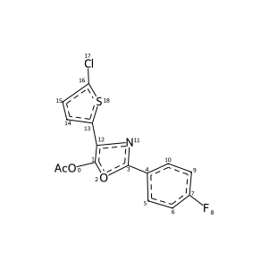 CC(=O)Oc1oc(-c2ccc(F)cc2)nc1-c1ccc(Cl)s1